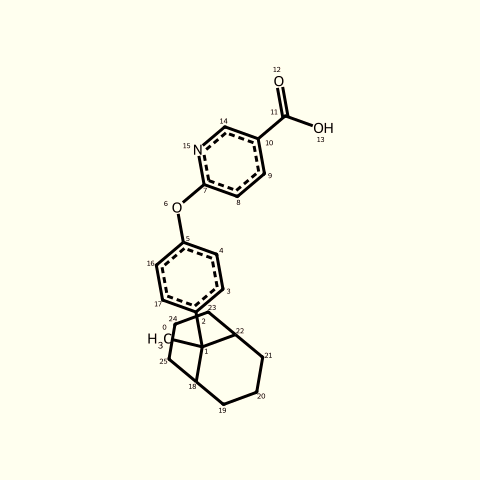 CC1(c2ccc(Oc3ccc(C(=O)O)cn3)cc2)C2CCCC1CCC2